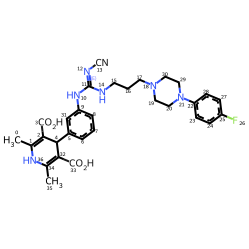 CC1=C(C(=O)O)C(c2cccc(N/C(=N/C#N)NCCCN3CCN(c4ccc(F)cc4)CC3)c2)C(C(=O)O)=C(C)N1